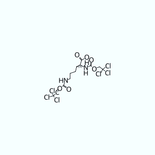 O=C(NCCCC[C@H](NC(=O)OCC(Cl)(Cl)Cl)C(=O)O)OCC(Cl)(Cl)Cl